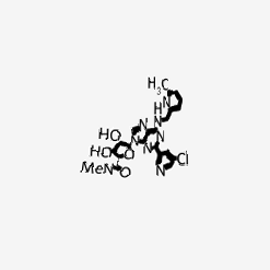 CNC(=O)[C@H]1O[C@@H](n2cnc3c(NCc4cccc(C)n4)nc(-c4cncc(Cl)c4)nc32)[C@H](O)[C@@H]1O